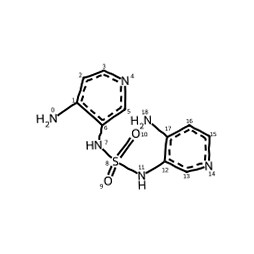 Nc1ccncc1NS(=O)(=O)Nc1cnccc1N